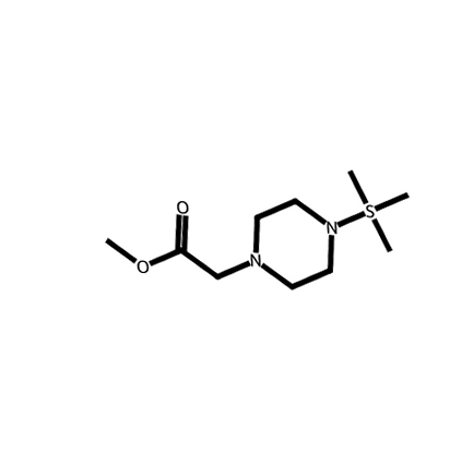 COC(=O)CN1CCN(S(C)(C)C)CC1